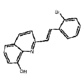 Oc1cccc2ccc(/C=C/c3ccccc3Br)nc12